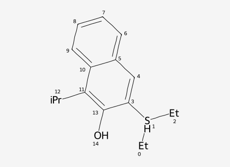 CC[SH](CC)c1cc2ccccc2c(C(C)C)c1O